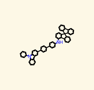 c1ccc(-n2c3ccccc3c3cc(-c4ccc(-c5ccc(Nc6cccc7c6-c6ccccc6C76c7ccccc7-c7ccccc76)cc5)cc4)ccc32)cc1